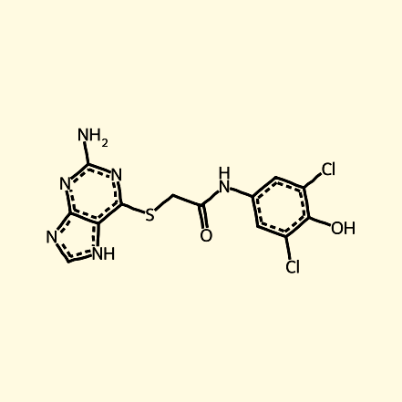 Nc1nc(SCC(=O)Nc2cc(Cl)c(O)c(Cl)c2)c2[nH]cnc2n1